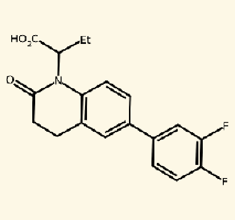 CCC(C(=O)O)N1C(=O)CCc2cc(-c3ccc(F)c(F)c3)ccc21